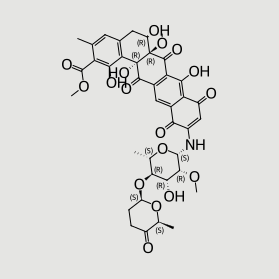 COC(=O)c1c(C)cc2c(c1O)[C@]1(O)C(=O)c3cc4c(c(O)c3C(=O)[C@@]1(OC)[C@H](O)C2)C(=O)C=C(N[C@H]1O[C@@H](C)[C@H](O[C@@H]2CCC(=O)[C@H](C)O2)[C@@H](O)[C@H]1OC)C4=O